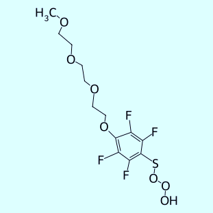 COCCOCCOCCOc1c(F)c(F)c(SOOO)c(F)c1F